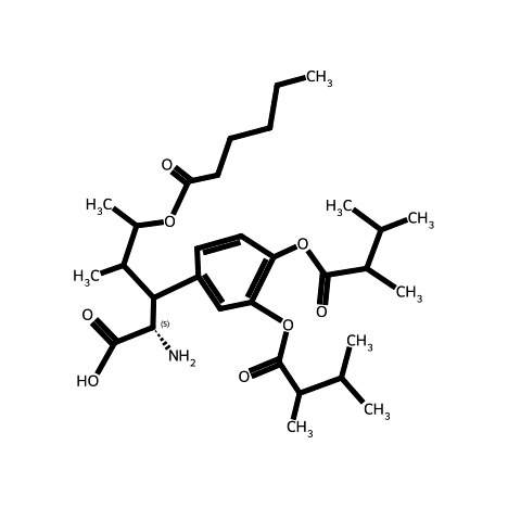 CCCCCC(=O)OC(C)C(C)C(c1ccc(OC(=O)C(C)C(C)C)c(OC(=O)C(C)C(C)C)c1)[C@H](N)C(=O)O